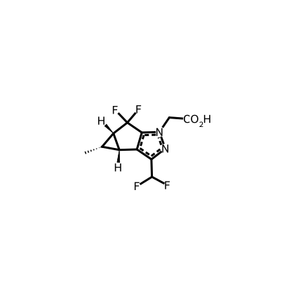 C[C@H]1[C@H]2c3c(C(F)F)nn(CC(=O)O)c3C(F)(F)[C@@H]12